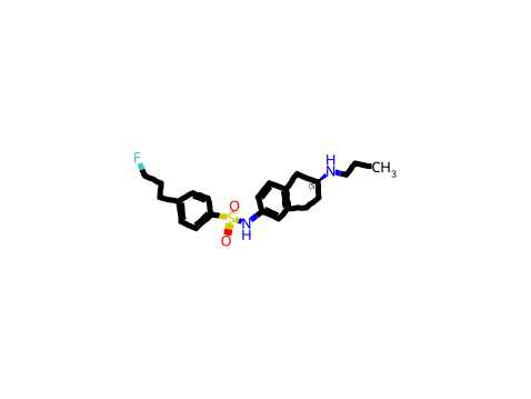 CCCN[C@H]1CCc2cc(NS(=O)(=O)c3ccc(CCCF)cc3)ccc2C1